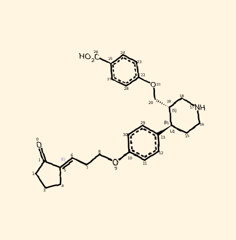 O=C1CCC/C1=C\CCOc1ccc([C@@H]2CCNC[C@H]2COc2ccc(C(=O)O)cc2)cc1